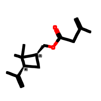 C=C(C)CC(=O)OC[C@@H]1C[C@H](C(=C)C)C1(C)C